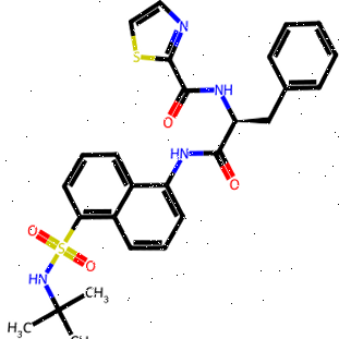 CC(C)(C)NS(=O)(=O)c1cccc2c(NC(=O)[C@H](Cc3ccccc3)NC(=O)c3nccs3)cccc12